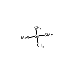 C[S][Sn]([CH3])([CH3])[S]C